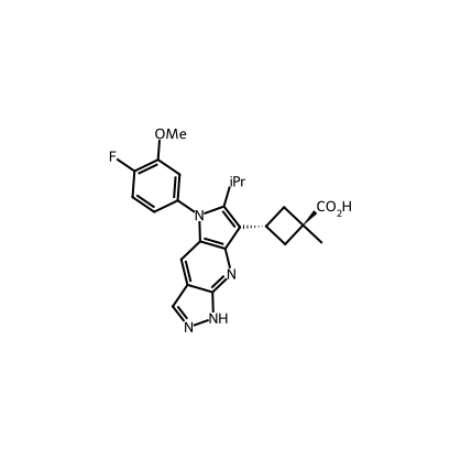 COc1cc(-n2c(C(C)C)c([C@H]3C[C@](C)(C(=O)O)C3)c3nc4[nH]ncc4cc32)ccc1F